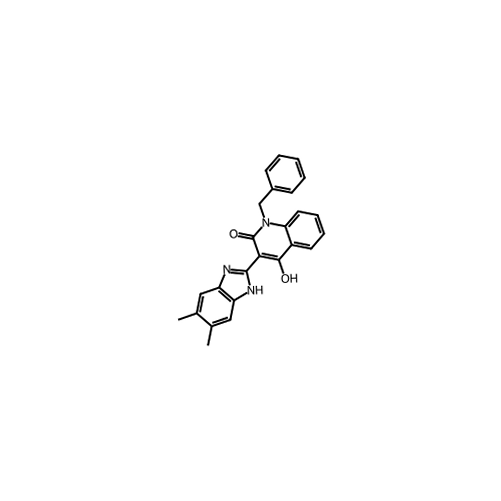 Cc1cc2nc(-c3c(O)c4ccccc4n(Cc4ccccc4)c3=O)[nH]c2cc1C